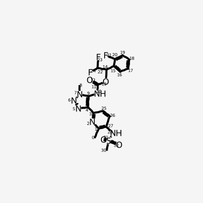 Cc1nc(-c2nnn(C)c2NC(=O)OC(c2ccccc2F)C(F)F)ccc1NS(C)(=O)=O